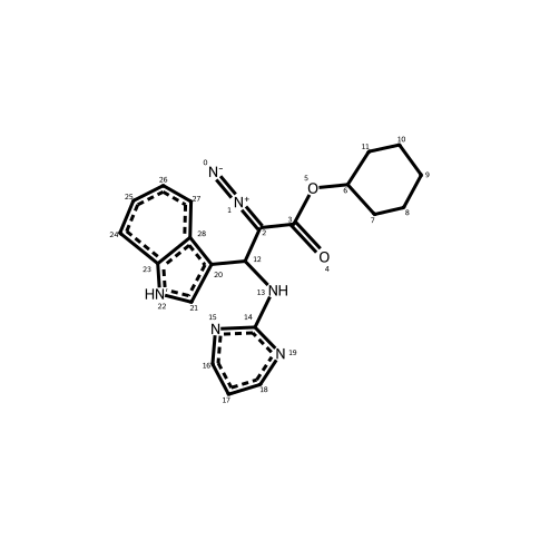 [N-]=[N+]=C(C(=O)OC1CCCCC1)C(Nc1ncccn1)c1c[nH]c2ccccc12